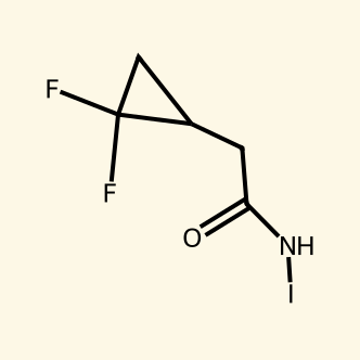 O=C(CC1CC1(F)F)NI